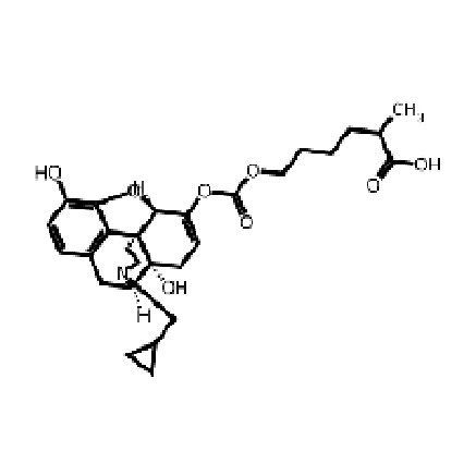 CC(CCCCOC(=O)OC1=CC[C@@]2(O)[C@H]3Cc4ccc(O)c5c4[C@@]2(CCN3CC2CC2)[C@H]1O5)C(=O)O